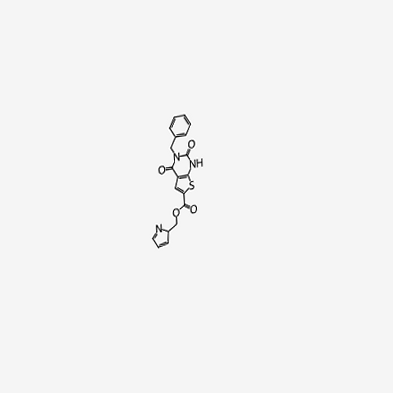 O=C(OCC1C=CC=N1)c1cc2c(=O)n(Cc3ccccc3)c(=O)[nH]c2s1